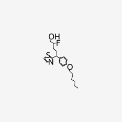 CCCCCCOc1ccc(C(CCC(F)CO)c2nccs2)cc1